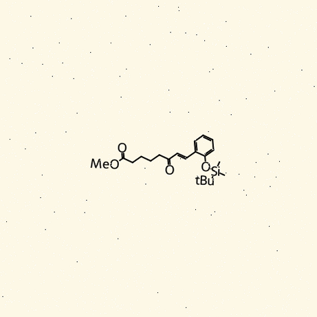 COC(=O)CCCCC(=O)/C=C/c1ccccc1O[Si](C)(C)C(C)(C)C